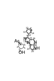 CC(=O)N1C[C@@H](O)C[C@H]1c1nc(-c2ccsc2)c2cnc3[nH]ccc3n12